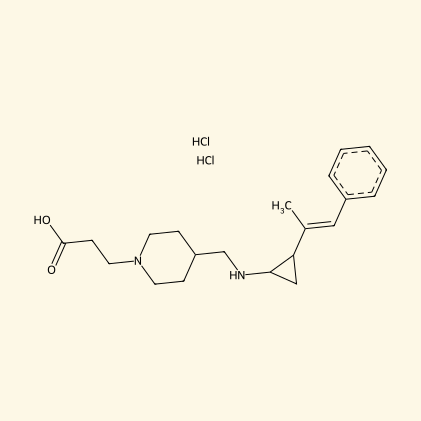 C/C(=C\c1ccccc1)C1CC1NCC1CCN(CCC(=O)O)CC1.Cl.Cl